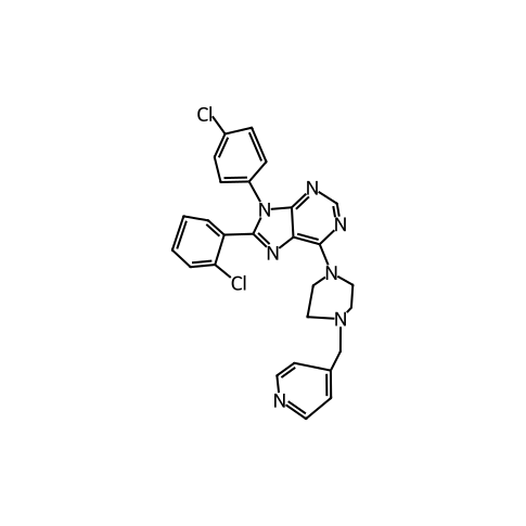 Clc1ccc(-n2c(-c3ccccc3Cl)nc3c(N4CCN(Cc5ccncc5)CC4)ncnc32)cc1